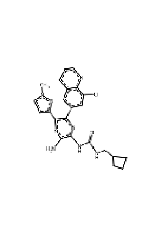 Cn1ccc(-c2nc(N)c(NC(=O)NCC3CCC3)nc2-c2cc(Cl)c3ncccc3c2)n1